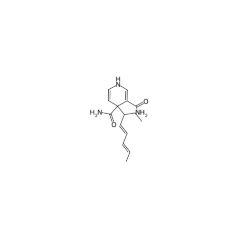 C/C=C/C=C/C(CC)C1(C(N)=O)C=CNC=C1C(N)=O